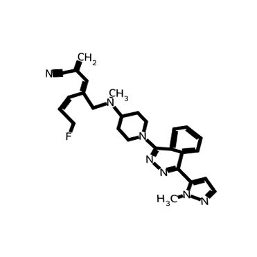 C=C(C#N)/C=C(\C=C/CF)CN(C)C1CCN(c2nnc(-c3ccnn3C)c3ccccc23)CC1